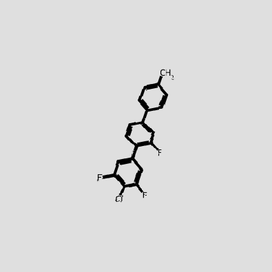 Cc1ccc(-c2ccc(-c3cc(F)c(Cl)c(F)c3)c(F)c2)cc1